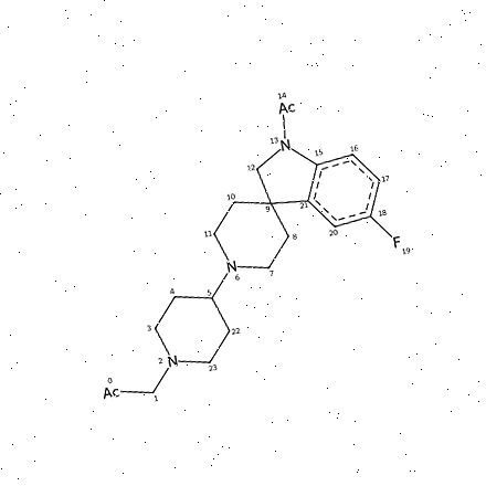 CC(=O)CN1CCC(N2CCC3(CC2)CN(C(C)=O)c2ccc(F)cc23)CC1